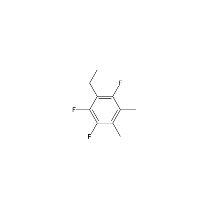 CCc1c(F)c(C)c(C)c(F)c1F